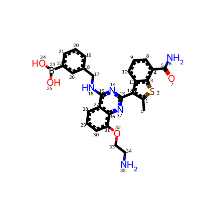 Cc1sc2c(C(N)=O)cccc2c1-c1nc(NCc2cccc(B(O)O)c2)c2cccc(OCCN)c2n1